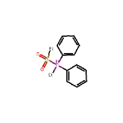 CC[PH](c1ccccc1)(c1ccccc1)S(=O)(=O)CC